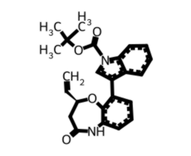 C=C[C@@H]1CC(=O)Nc2cccc(-c3cn(C(=O)OC(C)(C)C)c4ccccc34)c2O1